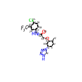 Cc1ccc(N2CNN=N2)cc1OCC(=O)Nc1ccc(Cl)c(C(F)(F)F)c1